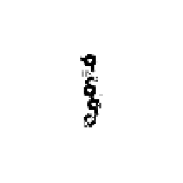 Cc1cccc(CNC(=O)Cc2ccc(-c3ccc(CN4CCOCC4)nc3F)cc2)c1